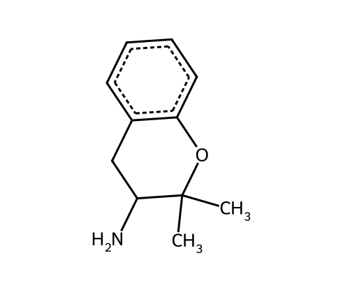 CC1(C)Oc2ccccc2CC1N